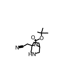 CC(C)(C)OC(=O)N1C2CCC1(CC#N)CNC2